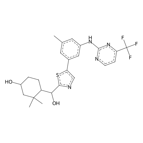 Cc1cc(Nc2nccc(C(F)(F)F)n2)cc(-c2cnc(C(O)C3CCC(O)CC3(C)C)s2)c1